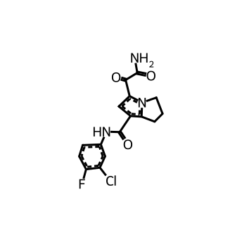 NC(=O)C(=O)c1cc(C(=O)Nc2ccc(F)c(Cl)c2)c2n1CCC2